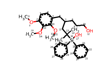 COc1ccc(CC(CCCO)CC(C)(C)[Si](O)(c2ccccc2)c2ccccc2)c(OC)c1OC